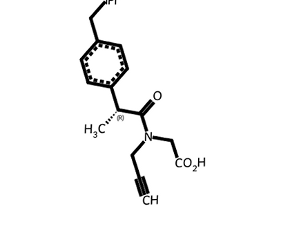 C#CCN(CC(=O)O)C(=O)[C@H](C)c1ccc(CC(C)C)cc1